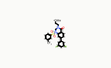 COCCN1CN(S(=O)(=O)c2cccc(C(F)(F)F)c2)c2cc(-c3cc(F)cc(F)c3)ccc2C1=O